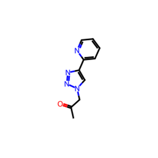 CC(=O)Cn1cc(-c2ccccn2)nn1